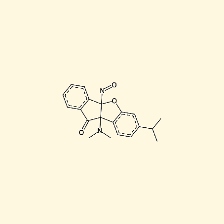 CC(C)c1ccc2c(c1)OC1(N=O)c3ccccc3C(=O)C21N(C)C